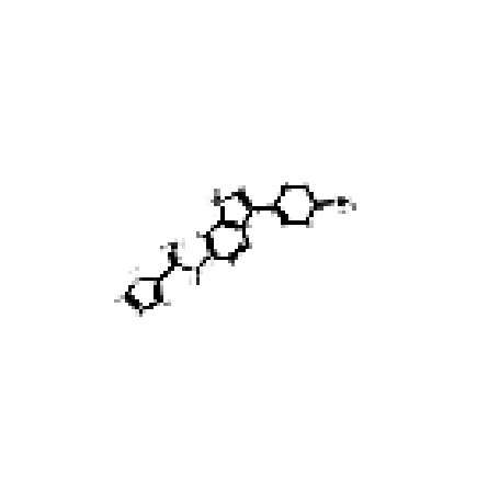 N=C(Nc1ccc2c(C3=CCC(N)CC3)c[nH]c2c1)c1cccs1